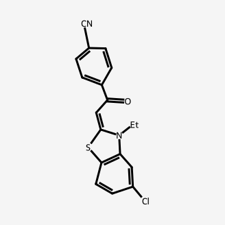 CCN1C(=CC(=O)c2ccc(C#N)cc2)Sc2ccc(Cl)cc21